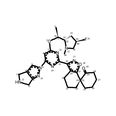 C[C@H](Oc1cc(-n2cc3c(n2)CNC3)nc(-c2noc3c2CCC[C@@]32CCCCC2=O)n1)[C@@H]1C[C@@H](F)CN1C